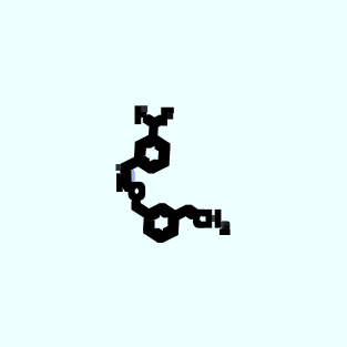 C=Cc1cccc(CO/N=[C]\c2cccc(C(F)F)c2)c1